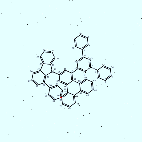 c1ccc(-c2nc(-c3ccccc3)nc(-c3cc(-n4c5ccccc5c5cccc(-c6ccccc6)c54)cc4c5ccccc5c5ccccc5c34)n2)cc1